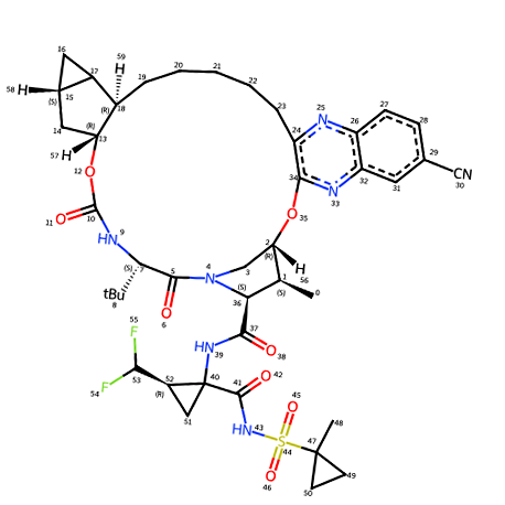 C[C@@H]1[C@@H]2CN(C(=O)[C@H](C(C)(C)C)NC(=O)O[C@@H]3C[C@@H]4CC4[C@H]3CCCCCc3nc4ccc(C#N)cc4nc3O2)[C@@H]1C(=O)NC1(C(=O)NS(=O)(=O)C2(C)CC2)C[C@H]1C(F)F